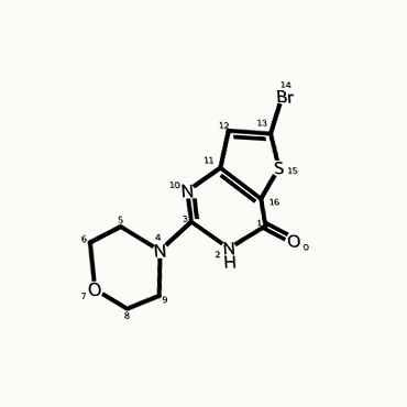 O=c1[nH]c(N2CCOCC2)nc2cc(Br)sc12